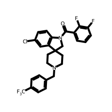 O=C(c1cccc(F)c1F)N1CC2(CCN(Cc3ccc(C(F)(F)F)cc3)CC2)c2cc(Cl)ccc21